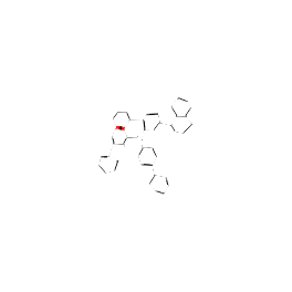 c1ccc(-c2ccc(N(c3cc(-c4cccc5ccccc45)ccc3-c3ccccc3)c3cccc4c3sc3ccccc34)cc2)cc1